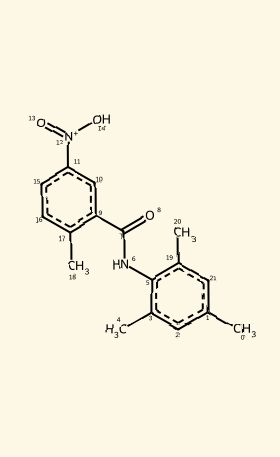 Cc1cc(C)c(NC(=O)c2cc([N+](=O)O)ccc2C)c(C)c1